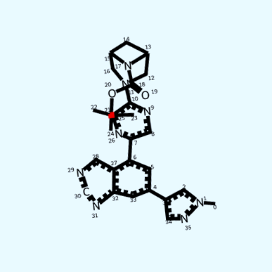 Cn1cc(-c2cc(-c3cnc(N4CC5CC(C4)N5C(=O)OC(C)(C)C)cn3)c3cncnc3c2)cn1